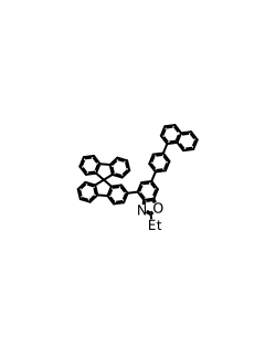 CCc1nc2c(-c3ccc4c(c3)C3(c5ccccc5-c5ccccc53)c3ccccc3-4)cc(-c3ccc(-c4cccc5ccccc45)cc3)cc2o1